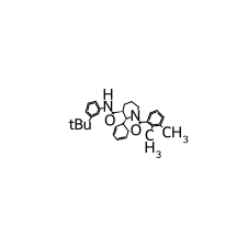 Cc1cccc(C(=O)N2CCC[C@H](C(=O)Nc3cccc(C(C)(C)C)c3)[C@@H]2C2C=CC=CC2)c1C